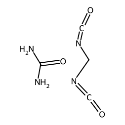 NC(N)=O.O=C=NCN=C=O